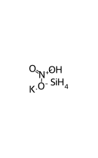 O=[N+]([O-])O.[K].[SiH4]